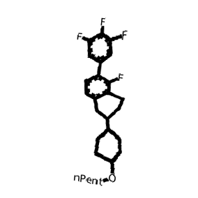 CCCCCOC1CCC(C2CCc3c(ccc(-c4cc(F)c(F)c(F)c4)c3F)C2)CC1